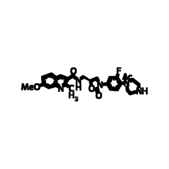 COc1ccc2cc(C(=O)NC[C@H]3CN(c4ccc([N+]5(C(C)=O)CCNCC5)c(F)c4)C(=O)O3)c(C)nc2c1